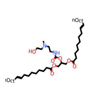 CCCCCCCCC=CCCCCCCCC(=O)OCC(COC(=O)CCCCCCCC=CCCCCCCCC)OC(=O)NCCN(C)CCO